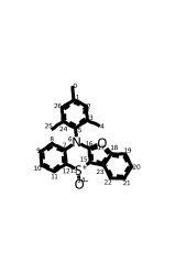 Cc1cc(C)c(N2c3ccccc3[S+]([O-])c3c2oc2ccccc32)c(C)c1